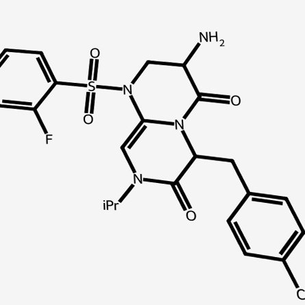 CC(C)N1C=C2N(C(=O)C(N)CN2S(=O)(=O)c2ccccc2F)C(Cc2ccc(Cl)cc2)C1=O